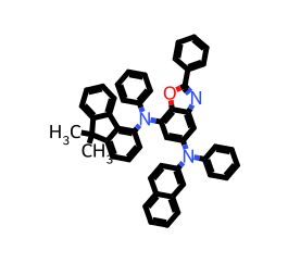 CC1(C)c2ccccc2-c2c(N(c3ccccc3)c3cc(N(c4ccccc4)c4ccc5ccccc5c4)cc4nc(-c5ccccc5)oc34)cccc21